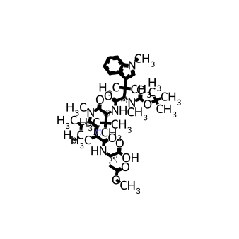 COC(=O)C[C@H](NC(=O)/C(C)=C/[C@H](C(C)C)N(C)C(=O)[C@@H](NC(=O)[C@@H](N(C)C(=O)OC(C)(C)C)C(C)(C)c1cn(C)c2ccccc12)C(C)(C)C)C(=O)O